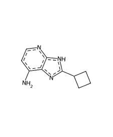 Nc1ccnc2[nH]c(C3CCC3)nc12